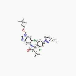 C[Si](C)(C)CCOCn1cnc2cc(N3C(=O)C(C4CC4)C3c3c(F)cc(-n4ccc(C(F)(F)F)n4)cc3F)ccc21